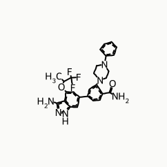 CC(Oc1cc(-c2ccc(C(N)=O)c(N3CCN(c4ccccc4)CC3)c2)cc2[nH]nc(N)c12)C(F)(F)F